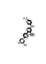 Cc1ccc(Nc2cnc(-c3ccc(N4CCN[C@@H](C(C)C)C4)nn3)c(O)c2)cn1.Cl.Cl